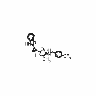 C[C@H](NC(=O)[C@H]1C[C@@H]1c1nc2ccccc2[nH]1)C(=O)NCc1ccc(C(F)(F)F)cc1